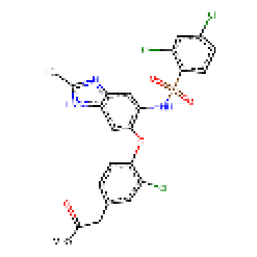 COC(=O)Cc1ccc(Oc2cc3[nH]c(C)nc3cc2NS(=O)(=O)c2ccc(Cl)cc2Cl)c(Cl)c1